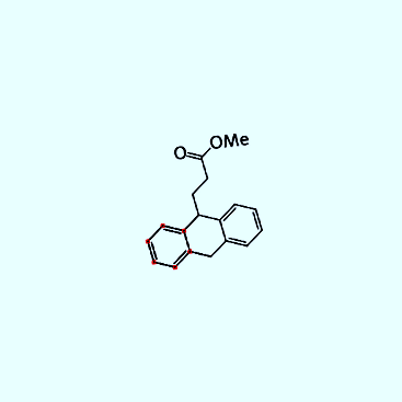 COC(=O)CCC12c3ccccc3C(c3ccccc31)c1ccccc12